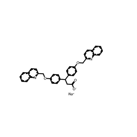 O=C([O-])CC(c1ccc(OCc2ccc3ccccc3n2)cc1)c1ccc(OCc2ccc3ccccc3n2)cc1.[Na+]